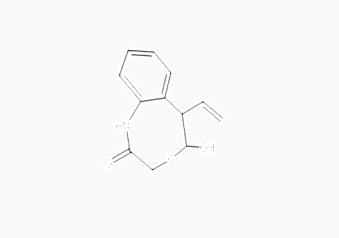 C=CC1c2ccccc2NC(=O)CCC1O